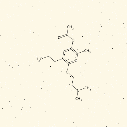 CCCc1cc(OC(C)=O)c(C)cc1OCCN(C)C